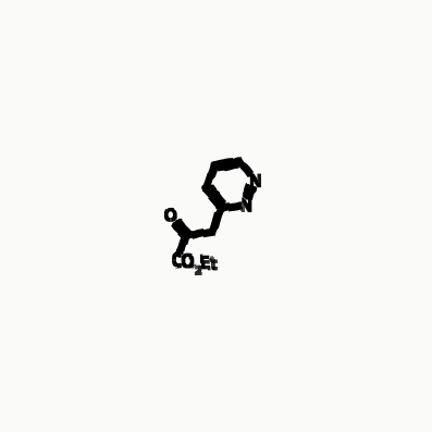 CCOC(=O)C(=O)Cc1cccnn1